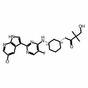 CC(C)(CO)C(=O)C[C@@H]1CCC[C@H](Nc2nc(-c3c[nH]c4ncc(Cl)cc34)ncc2F)C1